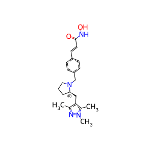 Cc1nn(C)c(C)c1C[C@H]1CCCN1Cc1ccc(C=CC(=O)NO)cc1